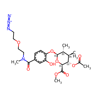 COC(=O)[C@H]1O[C@@H](Oc2ccc(C(=O)N(C)CCOCCN=[N+]=[N-])cc2O)[C@H](C)[C@@H](C)[C@@H]1OC(C)=O